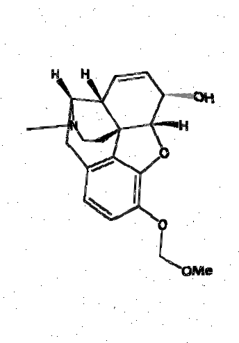 COCOc1ccc2c3c1O[C@H]1[C@@H](O)C=C[C@H]4[C@@H](C2)N(C)CC[C@@]341